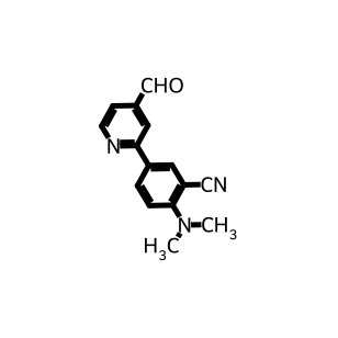 CN(C)c1ccc(-c2cc(C=O)ccn2)cc1C#N